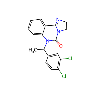 CC(c1ccc(Cl)c(Cl)c1)N1C(=O)N2CCN=C2c2ccccc21